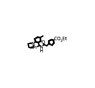 CCCC(NC(=O)Cc1ccc(C(=O)OCC)cc1)c1cc(C)ccc1N1CCCCC1